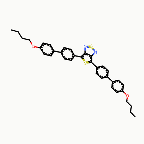 CCCCOc1ccc(-c2ccc(-c3sc(-c4ccc(-c5ccc(OCCCC)cc5)cc4)c4c3N=S=N4)cc2)cc1